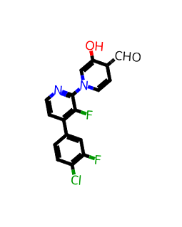 O=CC1C=CN(c2nccc(-c3ccc(Cl)c(F)c3)c2F)C=C1O